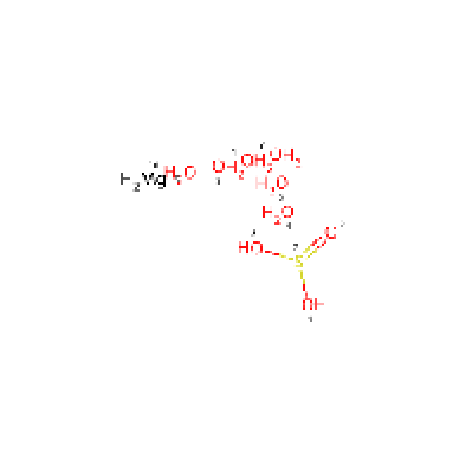 O.O.O.O.O.O.O=S(O)O.[MgH2]